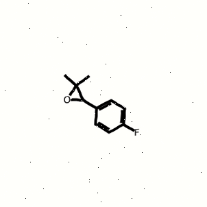 CC1(C)OC1c1ccc(F)cc1